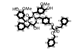 COc1cc(CN2C(=O)N(Cc3ccc(O)c(OC)c3)N(Cc3ccc(OCP(=O)(OCc4ccccc4)OCc4ccccc4)cc3)CC(O)C2Cc2ccccc2)ccc1O